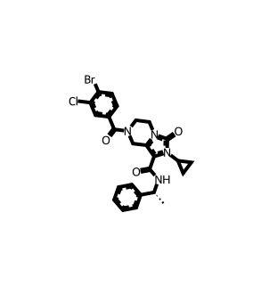 C[C@@H](NC(=O)c1c2n(c(=O)n1C1CC1)CCN(C(=O)c1ccc(Br)c(Cl)c1)C2)c1ccccc1